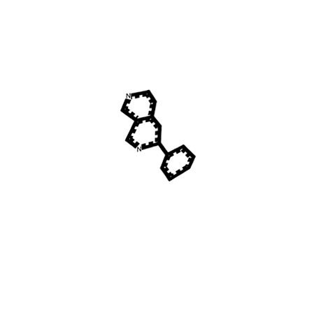 [c]1ccccc1-c1cc2ccncc2cn1